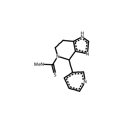 CNC(=S)N1CCc2[nH]cnc2C1c1cccnc1